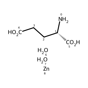 N[C@@H](CCC(=O)O)C(=O)O.O.O.[Zn]